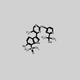 CC(C)(O)c1cc(Nc2ncc(C(F)(F)F)c(-c3c[nH]c4c(P(C)(C)=O)c(C#N)ccc34)n2)ccn1